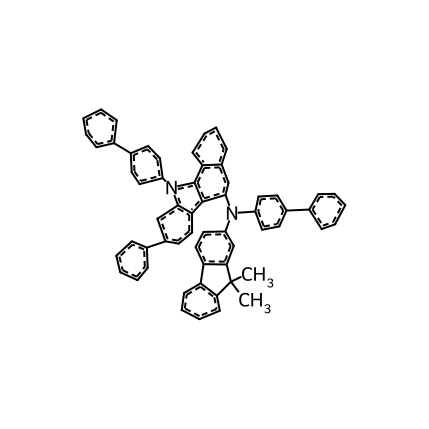 CC1(C)c2ccccc2-c2ccc(N(c3ccc(-c4ccccc4)cc3)c3cc4ccccc4c4c3c3ccc(-c5ccccc5)cc3n4-c3ccc(-c4ccccc4)cc3)cc21